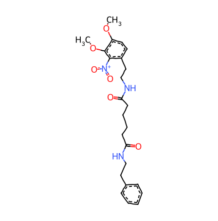 COc1ccc(CCNC(=O)CCCCC(=O)NCCc2ccccc2)c([N+](=O)[O-])c1OC